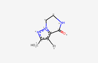 CCc1c(C(=O)O)nn2c1C(=O)NCC2